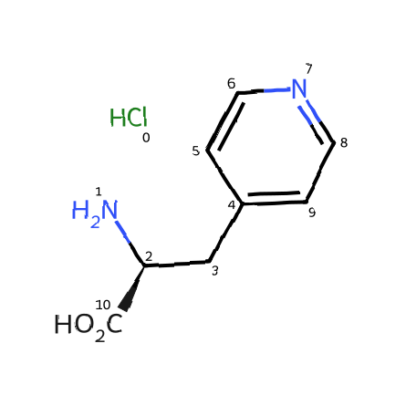 Cl.N[C@@H](Cc1ccncc1)C(=O)O